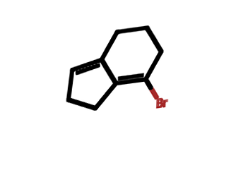 BrC1=C2CCC=C2CCC1